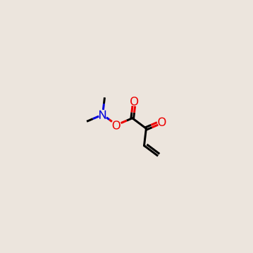 C=CC(=O)C(=O)ON(C)C